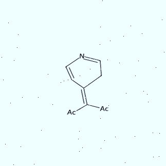 CC(=O)C(C(C)=O)=C1C=CN=CC1